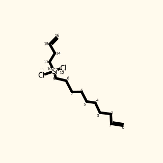 C=CCCCCCCCC[Si](Cl)(Cl)CCC=C